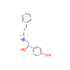 CC(C)(CCc1ccccc1)NC[C@H](O)c1ccc(O)cc1